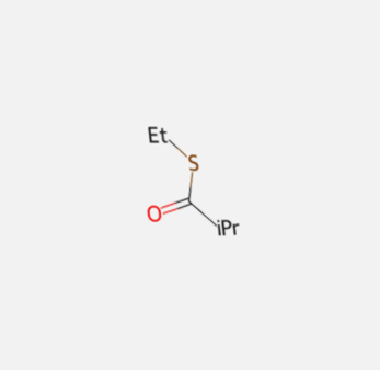 [CH2]CSC(=O)C(C)C